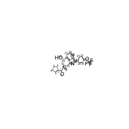 O=C(C1=CCCC1)N1CC(c2nn(-c3ccc(OC(F)(F)F)cc3)c3nccc(CO)c23)C1